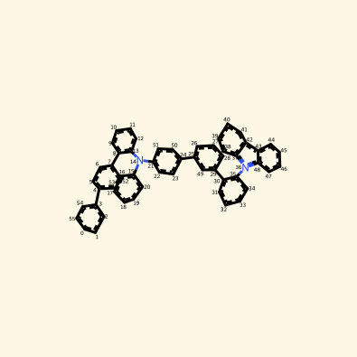 c1ccc(-c2ccc(-c3ccccc3N(c3ccccc3)c3ccc(-c4cccc(-c5ccccc5-n5c6ccccc6c6ccccc65)c4)cc3)cc2)cc1